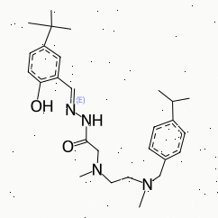 CC(C)c1ccc(CN(C)CCN(C)CC(=O)N/N=C/c2cc(C(C)(C)C)ccc2O)cc1